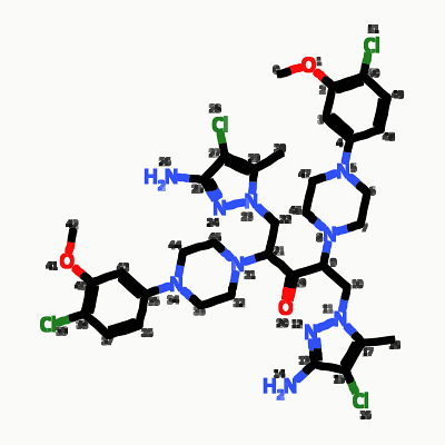 COc1cc(N2CCN(C(Cn3nc(N)c(Cl)c3C)C(=O)C(Cn3nc(N)c(Cl)c3C)N3CCN(c4ccc(Cl)c(OC)c4)CC3)CC2)ccc1Cl